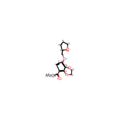 COC(=O)c1ccc(OCC2CCCO2)c2c1OCCO2